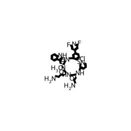 CN1C(=O)[C@H](CCCCN)NC(=O)[C@H](CCCN)NCc2cccnc2Sc2c(Cl)cc(-c3cc(F)nc(F)c3)cc2CNC(=O)[C@@H]1Cc1c[nH]c2ccccc12